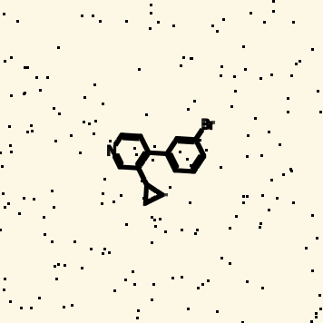 Brc1cccc(-c2ccncc2C2[CH]C2)c1